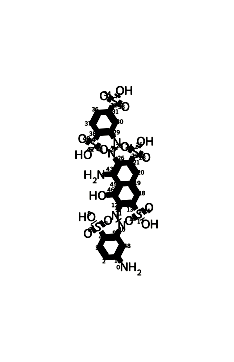 Nc1ccc(S(=O)(=O)O)c(/N=N/c2c(S(=O)(=O)O)cc3cc(S(=O)(=O)O)c(/N=N/c4cc(S(=O)(=O)O)ccc4S(=O)(=O)O)c(N)c3c2O)c1